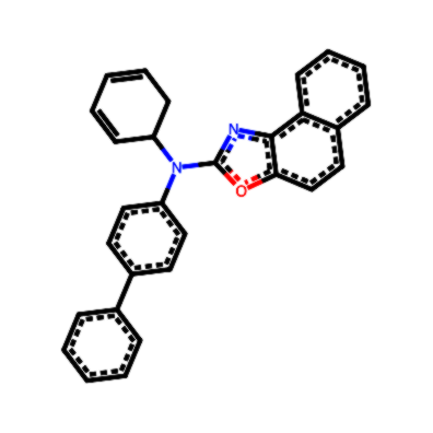 C1=CCC(N(c2ccc(-c3ccccc3)cc2)c2nc3c(ccc4ccccc43)o2)C=C1